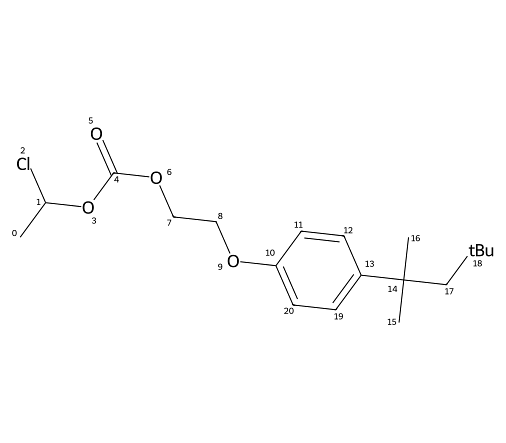 CC(Cl)OC(=O)OCCOc1ccc(C(C)(C)CC(C)(C)C)cc1